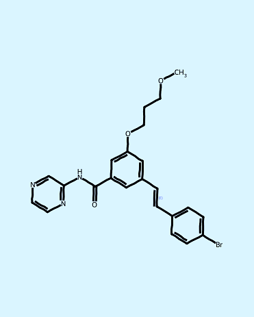 COCCCOc1cc(/C=C/c2ccc(Br)cc2)cc(C(=O)Nc2cnccn2)c1